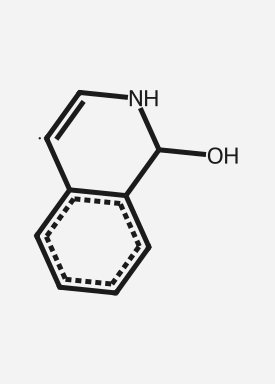 OC1NC=[C]c2ccccc21